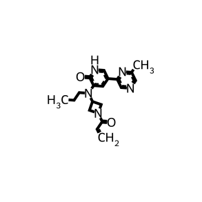 C=CC(=O)N1CC(N(CCC)c2cc(-c3cncc(C)n3)c[nH]c2=O)C1